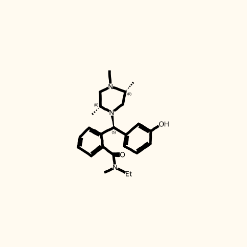 CCN(C)C(=O)c1ccccc1[C@H](c1cccc(O)c1)N1C[C@@H](C)N(C)C[C@H]1C